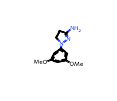 COc1cc(OC)cc(N2CCC(N)=N2)c1